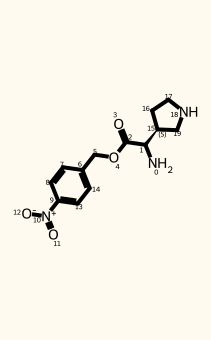 NC(C(=O)OCc1ccc([N+](=O)[O-])cc1)[C@H]1CCNC1